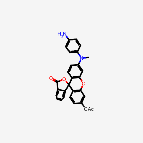 CC(=O)Oc1ccc2c(c1)Oc1cc(N(C)c3ccc(N)cc3)ccc1C21OC(=O)c2ccccc21